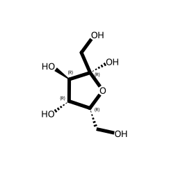 OC[C@H]1O[C@](O)(CO)[C@H](O)[C@H]1O